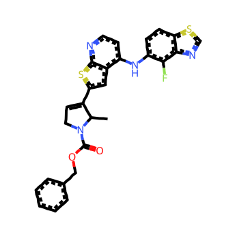 CC1C(c2cc3c(Nc4ccc5scnc5c4F)ccnc3s2)=CCN1C(=O)OCc1ccccc1